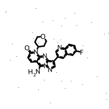 Nc1c2ccc(=O)n(C3CCOCC3)c2nc2c(-c3cnc4ccc(F)cc4c3)cnn12